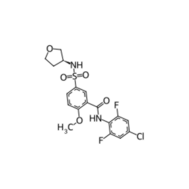 COc1ccc(S(=O)(=O)N[C@H]2CCOC2)cc1C(=O)Nc1c(F)cc(Cl)cc1F